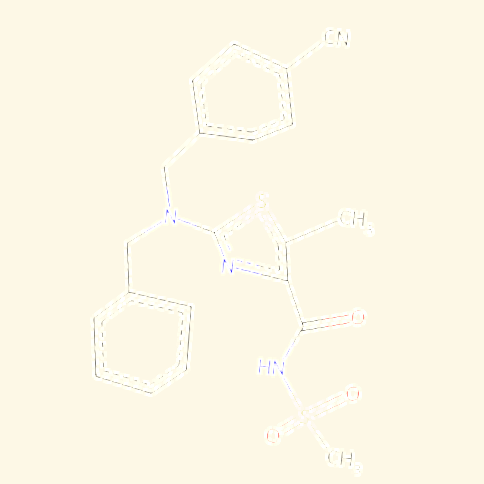 Cc1sc(N(Cc2ccccc2)Cc2ccc(C#N)cc2)nc1C(=O)NS(C)(=O)=O